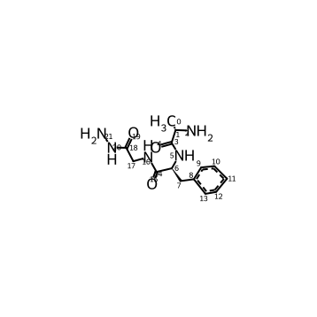 C[C@H](N)C(=O)N[C@@H](Cc1ccccc1)C(=O)NCC(=O)NN